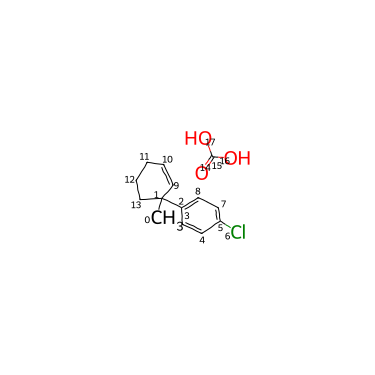 CC1(c2ccc(Cl)cc2)C=CCCC1.O=C(O)O